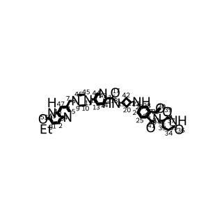 CCc1cc2ncc(CN3CCN(c4ccc(C(=O)N[C@H]5C[C@@H](Nc6ccc7c(c6)C(=O)N(C6CCC(=O)NC6=O)C7=O)C5)nc4)CC3)cc2[nH]c1=O